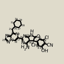 C[C@@]1(c2cc(O)c(C#N)c(Cl)c2)C(=O)Nc2nc(-c3cn4ncnc4c(CC4CCCCC4)n3)nc(N)c21